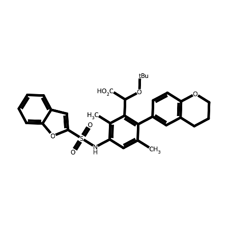 Cc1cc(NS(=O)(=O)c2cc3ccccc3o2)c(C)c(C(OC(C)(C)C)C(=O)O)c1-c1ccc2c(c1)CCCO2